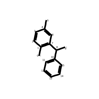 [CH2]c1ccc(C)cc1C([CH2])c1ccccc1